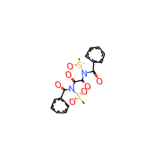 C[S+]([O-])N(C(=O)C(=O)N(C(=O)c1ccccc1)S(C)(=O)=O)C(=O)c1ccccc1